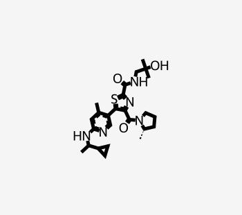 Cc1cc(NC(C)C2CC2)ncc1-c1sc(C(=O)NCC(C)(C)O)nc1C(=O)N1CCC[C@@H]1C